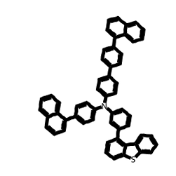 c1cc(-c2cccc3sc4ccccc4c23)cc(N(c2ccc(-c3ccc(-c4cccc5ccccc45)cc3)cc2)c2ccc(-c3cccc4ccccc34)cc2)c1